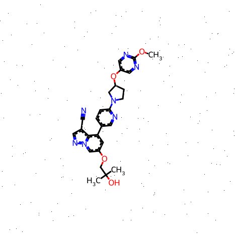 COc1ncc(OC2CCN(c3ccc(-c4cc(OCC(C)(C)O)cn5ncc(C#N)c45)cn3)C2)cn1